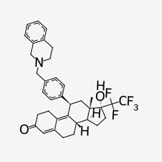 C[C@]12C[C@H](c3ccc(CN4CCc5ccccc5C4)cc3)C3=C4CCC(=O)C=C4CC[C@H]3[C@@H]1CC[C@]2(O)C(F)(F)C(F)(F)F